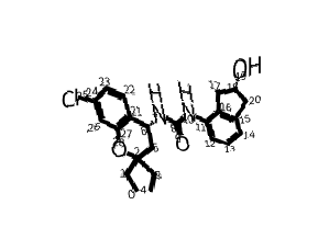 CCC1(CC)C[C@@H](NC(=O)Nc2cccc3c2C[C@H](O)C3)c2ccc(Cl)cc2O1